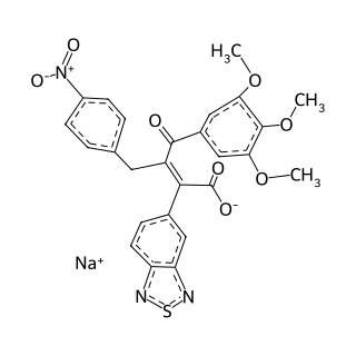 COc1cc(C(=O)C(Cc2ccc([N+](=O)[O-])cc2)=C(C(=O)[O-])c2ccc3nsnc3c2)cc(OC)c1OC.[Na+]